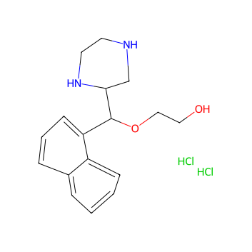 Cl.Cl.OCCOC(c1cccc2ccccc12)C1CNCCN1